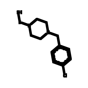 SSN1CCN(Cc2ccc(Cl)cc2)CC1